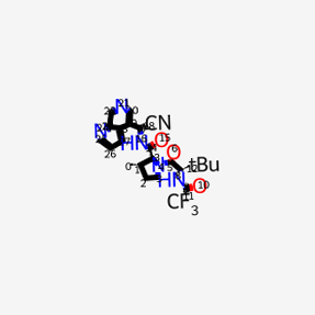 C[C@H]1CCN(C(=O)[C@@H](NC(=O)C(F)(F)F)C(C)(C)C)[C@@H]1C(=O)NC(C#N)c1cncc2ncccc12